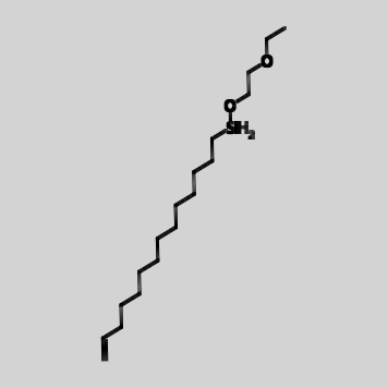 C=CCCCCCCCCCCCC[SiH2]OCCOCC